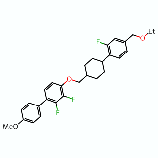 CCOCc1ccc(C2CCC(COc3ccc(-c4ccc(OC)cc4)c(F)c3F)CC2)c(F)c1